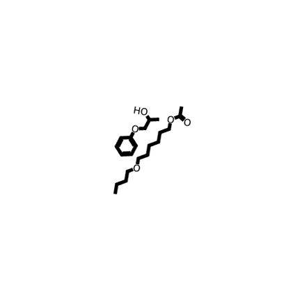 CC(O)COc1ccccc1.CCCCOCCCCCCOC(C)=O